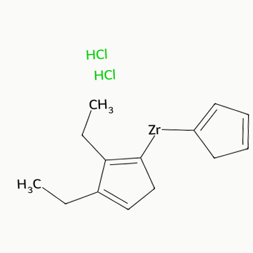 CCC1=CC[C]([Zr][C]2=CC=CC2)=C1CC.Cl.Cl